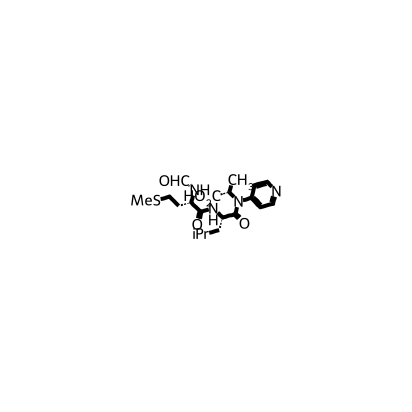 CSCC[C@H](NC=O)C(=O)N[C@@H](CC(C)C)C(=O)N(c1ccncc1)[C@@H](C)C(=O)O